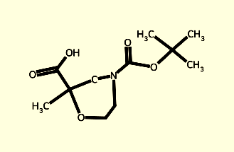 CC(C)(C)OC(=O)N1CCOC(C)(C(=O)O)C1